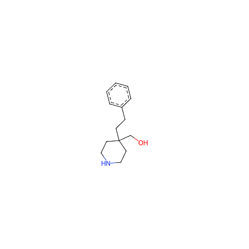 OCC1(CCc2ccccc2)CCNCC1